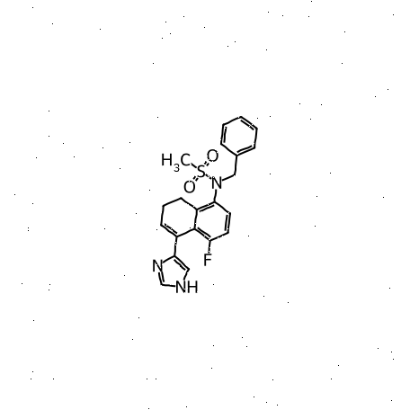 CS(=O)(=O)N(Cc1ccccc1)c1ccc(F)c2c1CCC=C2c1c[nH]cn1